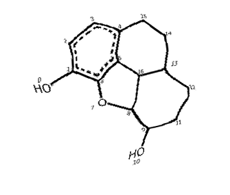 Oc1ccc2c3c1OC1C(O)CCC(CC2)C31